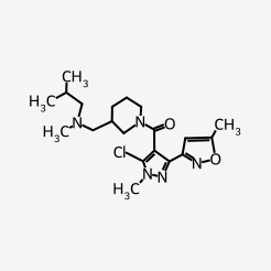 Cc1cc(-c2nn(C)c(Cl)c2C(=O)N2CCCC(CN(C)CC(C)C)C2)no1